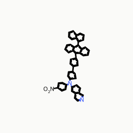 O=[N+]([O-])c1ccc(N(c2ccc(-c3ccc(-c4c5ccccc5c(-c5cccc6ccccc56)c5ccccc45)cc3)cc2)c2ccc3cnccc3c2)cc1